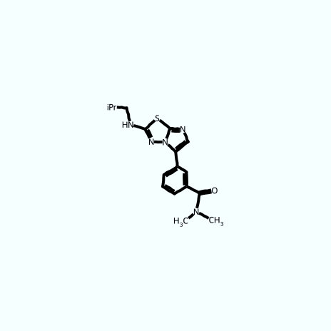 CC(C)CNc1nn2c(-c3cccc(C(=O)N(C)C)c3)cnc2s1